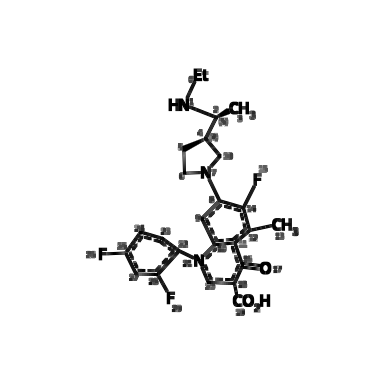 CCN[C@@H](C)[C@@H]1CCN(c2cc3c(c(C)c2F)c(=O)c(C(=O)O)cn3-c2ccc(F)cc2F)C1